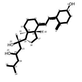 C=C1CC[C@H](O)C/C1=C/C=C1\CCC[C@@]2(C)[C@H]1CC[C@@H]2[C@@](C)(O)CC(O)CC(C)C